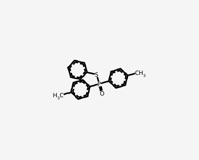 Cc1ccc(P(=O)(Sc2ccccc2)c2ccc(C)cc2)cc1